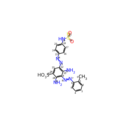 Cc1ccccc1/N=N/c1c(N)c(/N=N/c2ccc(N[SH](=O)=O)cc2)cc(S(=O)(=O)O)c1N